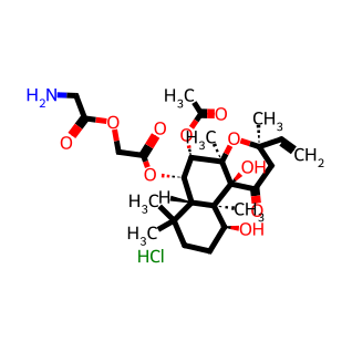 C=C[C@@]1(C)CC(=O)[C@]2(O)[C@@]3(C)[C@@H](O)CCC(C)(C)[C@@H]3[C@H](OC(=O)COC(=O)CN)[C@H](OC(C)=O)[C@@]2(C)O1.Cl